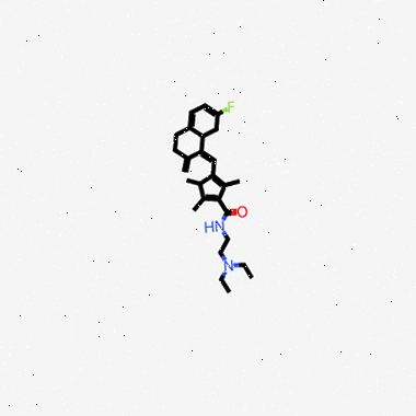 C=C1CCC2=CC=C(F)CC2/C1=C/C1=C(C)C(C(=O)NCCN(CC)CC)=C(C)C1C